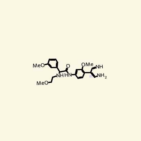 COCCNC(C(=O)Nc1ccc(/C(C=N)=C/N)c(OC)c1)c1cccc(OC)c1